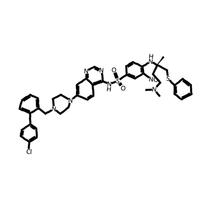 CN(C)CC[C@@](C)(CSc1ccccc1)Nc1ccc(S(=O)(=O)Nc2ncnc3cc(N4CCN(Cc5ccccc5-c5ccc(Cl)cc5)CC4)ccc23)cc1[N+](=O)[O-]